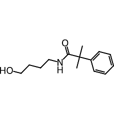 CC(C)(C(=O)NCCCCO)c1ccccc1